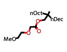 CCCCCCCCCCC(C)(CCCCCCCC)COC(=O)COCCOC